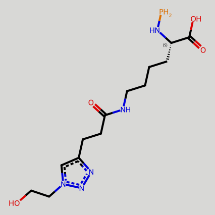 O=C(CCc1cn(CCO)nn1)NCCCC[C@H](NP)C(=O)O